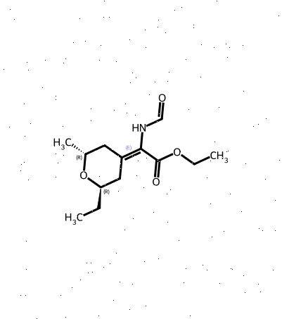 CCOC(=O)/C(NC=O)=C1\C[C@@H](CC)O[C@H](C)C1